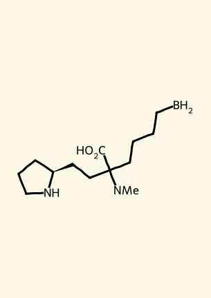 BCCCCC(CC[C@@H]1CCCN1)(NC)C(=O)O